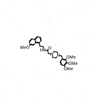 COc1ccc2cccc(CCNC(=O)CN3CCN(Cc4ccc(OC)c(OC)c4OC)CC3)c2c1